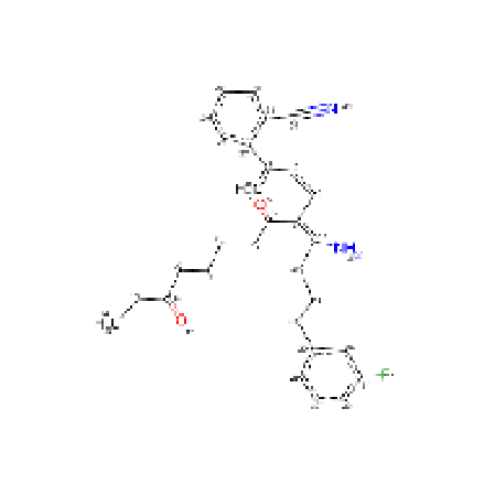 C=C(/C=C\C(C(=O)CCCCC(=O)CC)=C(/N)CCCc1cccc(F)c1)c1ccccc1C#N